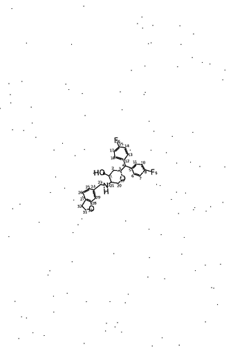 OC1CC(C(c2ccc(F)cc2)c2ccc(F)cc2)OCC1NCc1ccc2c(c1)OCC2